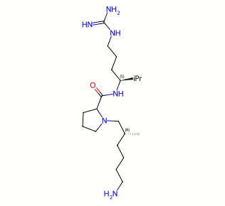 CC(C)[C@H](CCCNC(=N)N)NC(=O)C1CCCN1C[C@H](C)CCCCN